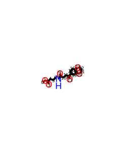 COC(=O)CCCNC(=O)CCC(=O)c1ccc2c(c1)OCCO2